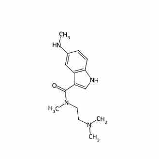 CNc1ccc2[nH]cc(C(=O)N(C)CCN(C)C)c2c1